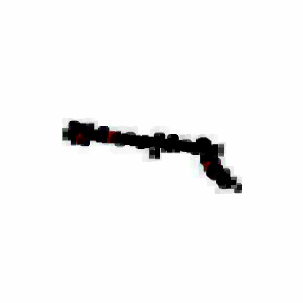 C=CC(=O)N1CCC[C@H](Oc2nc(Nc3cccc(OCCOCCNC(=O)CCCC(=O)NCCCOCCOCCOCCCNC(=O)CCCC[C@@H]4SC[C@@H]5NC(=O)N[C@@H]54)c3)ncc2F)C1